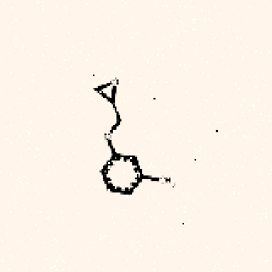 Cc1cccc(OC[C@H]2CO2)c1